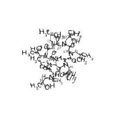 CC(C)CN(CC(=O)N(CC(=O)N(CC(=O)N(CC(=O)N(CC(=O)N(CC(N)=O)CC(C)O)CC(C)C)CC(C)O)CC(C)C)CC(C)O)C(=O)CN(C)CC(C)O